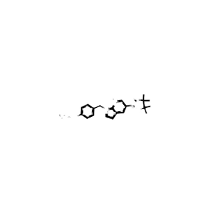 COc1ccc(Cn2ccc3cc(B4OC(C)(C)C(C)(C)O4)cnc32)cc1